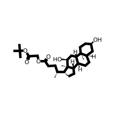 C[C@H](CCC(=O)OCC(=O)OC(C)(C)C)[C@H]1CC[C@H]2[C@@H]3CC[C@@H]4C[C@H](O)CC[C@]4(C)[C@H]3C[C@H](O)[C@]12C